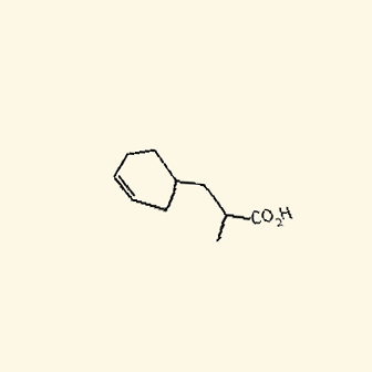 CC(CC1CC=CCC1)C(=O)O